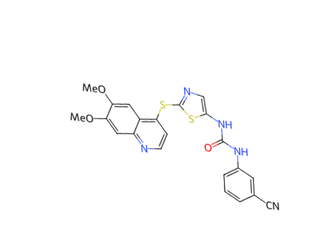 COc1cc2nccc(Sc3ncc(NC(=O)Nc4cccc(C#N)c4)s3)c2cc1OC